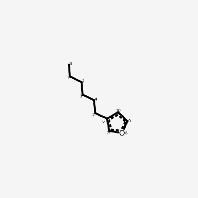 CCCCCCc1[c]occ1